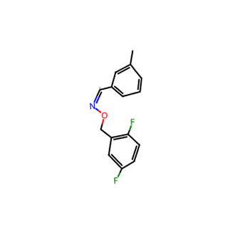 Cc1cccc(/[C]=N\OCc2cc(F)ccc2F)c1